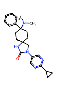 CN(C)[C@]1(c2ccccc2)CC[C@@]2(CC1)CN(c1cnc(C3CC3)nc1)C(=O)N2